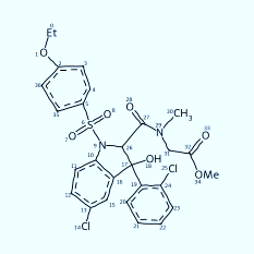 CCOc1ccc(S(=O)(=O)N2c3ccc(Cl)cc3C(O)(c3ccccc3Cl)C2C(=O)N(C)CC(=O)OC)cc1